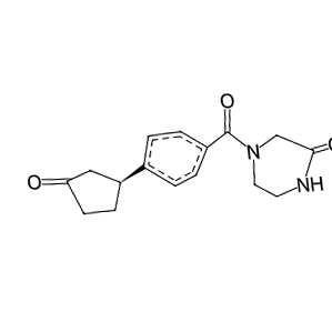 O=C1CC[C@H](c2ccc(C(=O)N3CCNC(=O)C3)cc2)C1